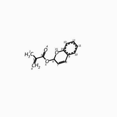 C=C(C)C(=O)OC1C=Cc2ccccc2O1